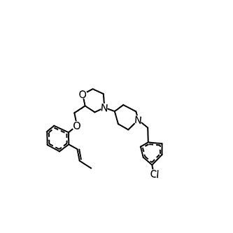 C/C=C/c1ccccc1OCC1CN(C2CCN(Cc3ccc(Cl)cc3)CC2)CCO1